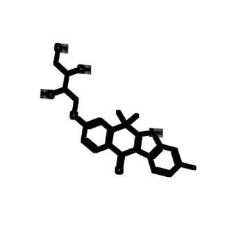 Cc1ccc2c3c([nH]c2c1)C(C)(C)c1cc(OCC(O)C(O)CO)ccc1C3=O